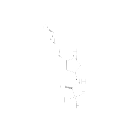 O=CNOC[C@@H]1CC(NC(=O)C(F)(F)F)CN1